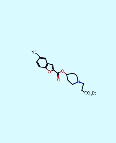 CCOC(=O)CCN1CCC(OC(=O)c2cc3cc(C#N)ccc3o2)CC1